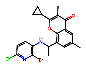 Cc1cc(C(C)Nc2ccc(Cl)nc2Br)c2oc(C3CC3)c(C)c(=O)c2c1